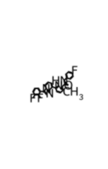 Cc1ccc(-c2cccn3c(-c4cccc(F)c4F)cnc23)nc1C(=O)Nc1ccc(F)cc1